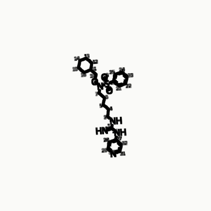 N=C(NCCCCCN(OCC1CCCCC1)S(=O)(=O)c1ccccc1)Nc1ccncc1